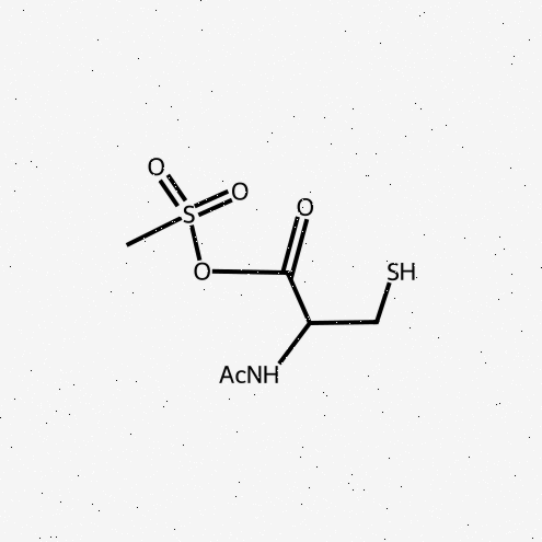 CC(=O)NC(CS)C(=O)OS(C)(=O)=O